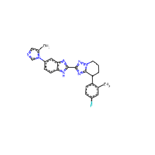 Cc1cc(F)ccc1C1CCCn2nc(-c3nc4cc(-n5cncc5C)ccc4[nH]3)nc21